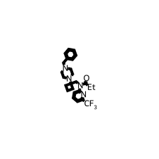 CCC(=O)N(CC1(N2CCN(Cc3ccccc3)CC2)CCC1)c1cccc(C(F)(F)F)n1